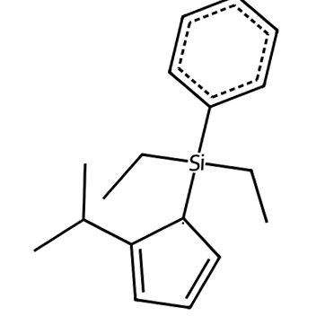 CC[Si](CC)([C]1C=CC=C1C(C)C)c1ccccc1